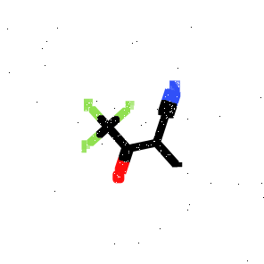 [CH2]C(C#N)C(=O)C(F)(F)F